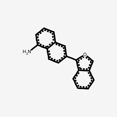 Nc1cccc2cc(-c3occ4ccccc34)ccc12